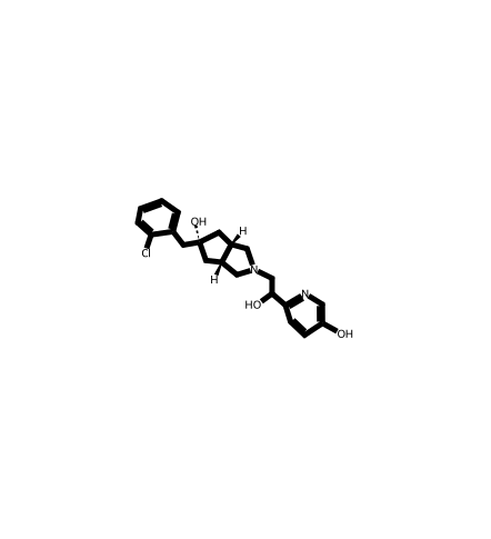 Oc1ccc(C(O)CN2C[C@@H]3C[C@@](O)(Cc4ccccc4Cl)C[C@@H]3C2)nc1